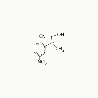 C[C](CO)c1cc([N+](=O)[O-])ccc1C#N